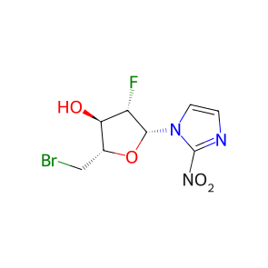 O=[N+]([O-])c1nccn1[C@@H]1O[C@H](CBr)[C@@H](O)[C@@H]1F